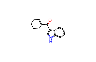 O=C(C1=CCCCC1)c1c[nH]c2ccccc12